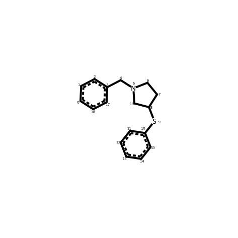 c1ccc(CN2CCC(Sc3ccccc3)C2)cc1